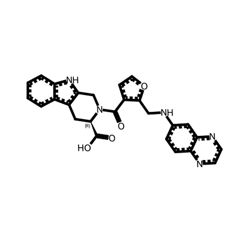 O=C(O)[C@H]1Cc2c([nH]c3ccccc23)CN1C(=O)c1ccoc1CNc1ccc2nccnc2c1